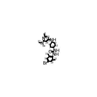 Cc1nc(N[C@H]2CC[C@@H](NC(=O)Nc3c(C)cc(Br)cc3C)CC2)cc(N(C)C)n1